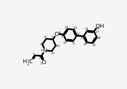 C=CC(=O)N1CCC(Oc2ccc(-c3cccc(O)c3)cc2)CC1